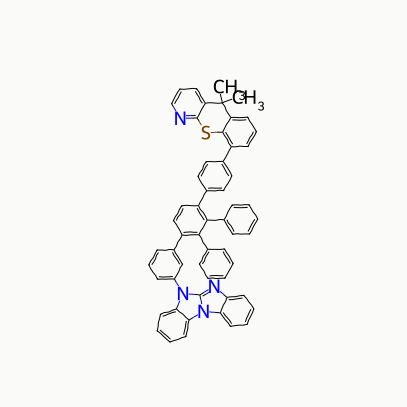 CC1(C)c2cccnc2Sc2c(-c3ccc(-c4ccc(-c5cccc(-n6c7ccccc7n7c8ccccc8nc67)c5)c(-c5ccccc5)c4-c4ccccc4)cc3)cccc21